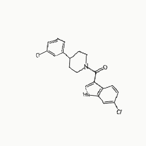 O=C(c1c[nH]c2cc(Cl)ccc12)N1CCC(c2cccc(Cl)c2)CC1